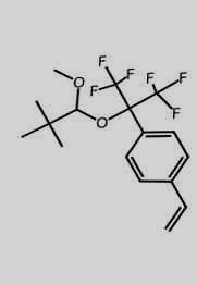 C=Cc1ccc(C(OC(OC)C(C)(C)C)(C(F)(F)F)C(F)(F)F)cc1